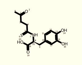 CC(=O)CCC(=S)N[C@@H](Cc1ccc(O)c(O)c1)C(=O)O